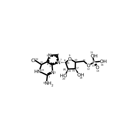 NC1=Nc2c(ncn2[C@@H]2OC(COP(=O)(O)O)[C@@H](O)[C@H]2O)C(Cl)N1